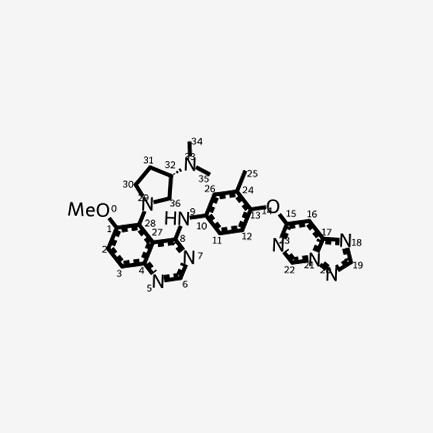 COc1ccc2ncnc(Nc3ccc(Oc4cc5ncnn5cn4)c(C)c3)c2c1N1CC[C@H](N(C)C)C1